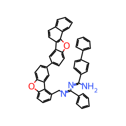 N/C(=N\C(=N/Cc1cccc2oc3ccc(-c4ccc5oc6c7ccccc7ccc6c5c4)cc3c12)c1ccccc1)c1ccc(-c2ccccc2)cc1